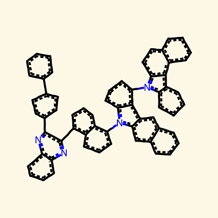 c1ccc(-c2ccc(-c3nc4ccccc4nc3-c3cccc4c(-n5c6cc7ccccc7cc6c6c(-n7c8ccccc8c8c9ccccc9ccc87)cccc65)cccc34)cc2)cc1